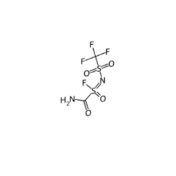 NC(=O)S(=O)(F)=NS(=O)(=O)C(F)(F)F